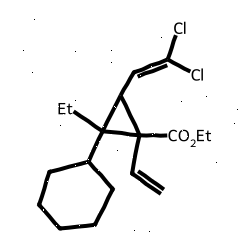 C=CC1(C(=O)OCC)C(C=C(Cl)Cl)C1(CC)C1CCCCC1